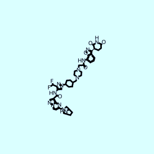 O=C1CC[C@@H](c2noc3c(NC(=O)CN4CCN(CC5CCC(n6cc(NC(=O)c7cnn8ccc(N9CC%10CCC(C9)N%10)nc78)c(C(F)F)n6)CC5)CC4)cccc23)C(=O)N1